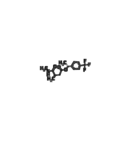 C=C(CC(=O)O[C@H](C)c1ccc(C(F)(F)F)cc1)C(=O)NC